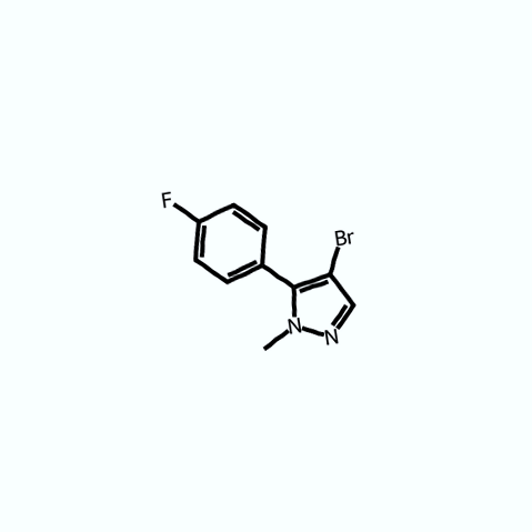 Cn1ncc(Br)c1-c1ccc(F)cc1